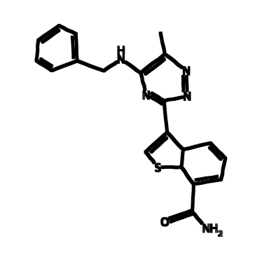 Cc1nnc(C2=CSC3C(C(N)=O)=CC=CC23)nc1NCc1ccccc1